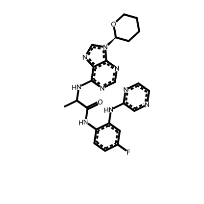 CC(Nc1ncnc2c1ncn2[C@@H]1CCCCO1)C(=O)Nc1ccc(F)cc1Nc1cnccn1